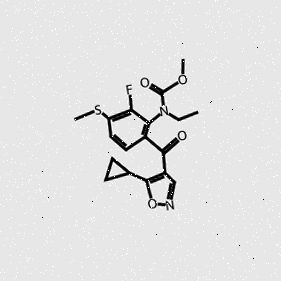 CCN(C(=O)OC)c1c(C(=O)c2cnoc2C2CC2)ccc(SC)c1F